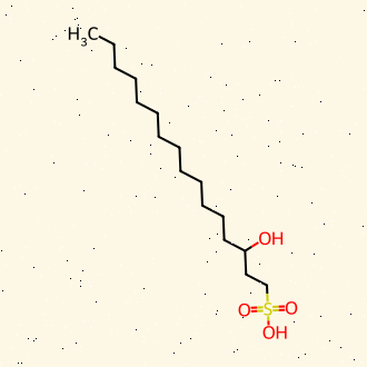 CCCCCCCCCCCCCC(O)CCS(=O)(=O)O